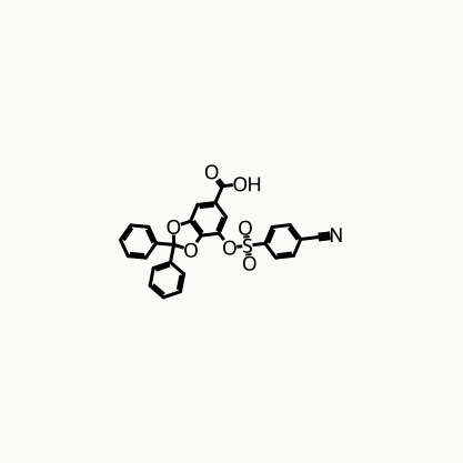 N#Cc1ccc(S(=O)(=O)Oc2cc(C(=O)O)cc3c2OC(c2ccccc2)(c2ccccc2)O3)cc1